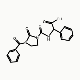 O=C(O)C(NC(=O)N1CCN(C(=O)c2ccccc2)C1=O)c1ccccc1